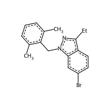 CCc1nn(Cc2c(C)cccc2C)c2cc(Br)ccc12